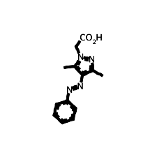 Cc1nn(CC(=O)O)c(C)c1N=Nc1ccccc1